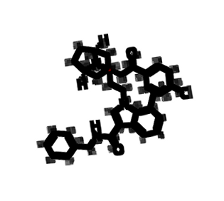 CCc1cccc2c(C(=O)NCc3ccccc3)cn(CCCN3[C@@H]4CC[C@H]3C[C@@H](CC(=O)c3ccc(Cl)cc3)C4)c12